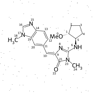 CO[C@@H]1CCC[C@H]1NC1=N/C(=C\c2ccc3ncn(C)c3c2)C(=O)N1C